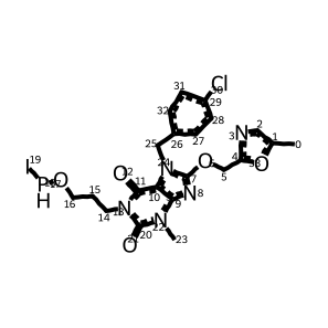 Cc1cnc(COc2nc3c(c(=O)n(CCCOPI)c(=O)n3C)n2Cc2ccc(Cl)cc2)o1